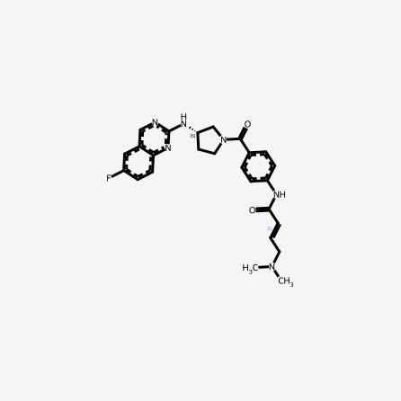 CN(C)C/C=C/C(=O)Nc1ccc(C(=O)N2CC[C@H](Nc3ncc4cc(F)ccc4n3)C2)cc1